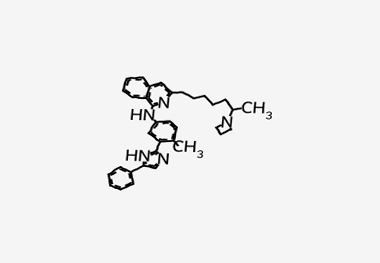 Cc1ccc(Nc2nc(CCCCCC(C)N3CCC3)cc3ccccc23)cc1-c1ncc(-c2ccccc2)[nH]1